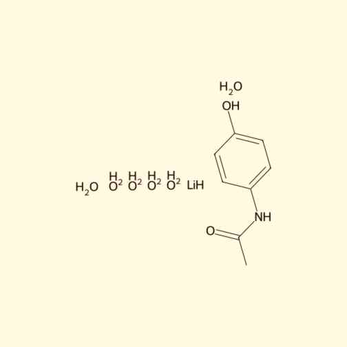 CC(=O)Nc1ccc(O)cc1.O.O.O.O.O.O.[LiH]